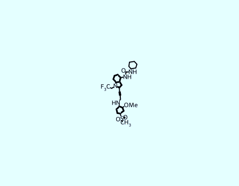 COc1cc(S(C)(=O)=O)ccc1NCC#Cc1cc2c(NC(=O)NC3CCCCC3)cccc2n1CC(F)(F)F